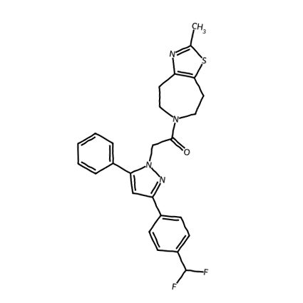 Cc1nc2c(s1)CCN(C(=O)Cn1nc(-c3ccc(C(F)F)cc3)cc1-c1ccccc1)CC2